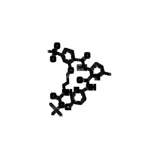 Cc1ccc(NC(=O)c2ccc(S(C)(=O)=O)cc2OCCCNC(=O)OC(C)(C)C)c(C(=O)Nc2ccc(Cl)cn2)n1